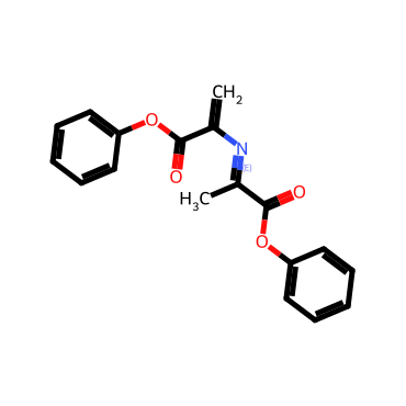 C=C(/N=C(\C)C(=O)Oc1ccccc1)C(=O)Oc1ccccc1